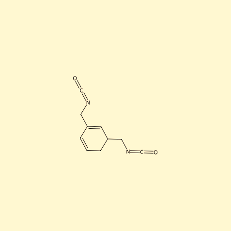 O=C=NCC1=CC(CN=C=O)CC=C1